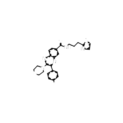 O=C(NCCCc1ncc[nH]1)c1ccc2nc(N3CCOCC3)c(-c3ccc(F)cc3)nc2c1